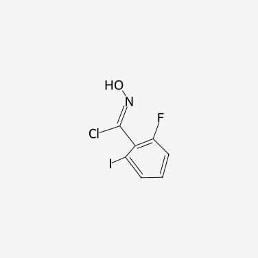 O/N=C(\Cl)c1c(F)cccc1I